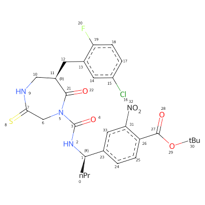 CCC[C@@H](NC(=O)N1CC(=S)NC[C@@H](Cc2cc(Cl)ccc2F)C1=O)c1ccc(C(=O)OC(C)(C)C)c([N+](=O)[O-])c1